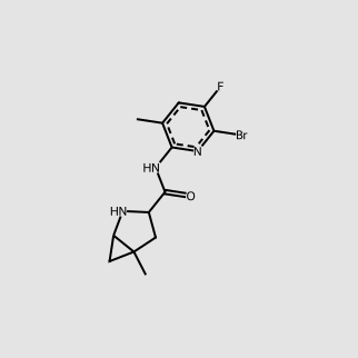 Cc1cc(F)c(Br)nc1NC(=O)C1CC2(C)CC2N1